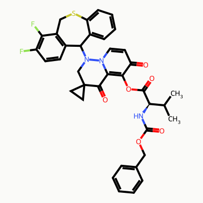 CC(C)[C@@H](NC(=O)OCc1ccccc1)C(=O)Oc1c2n(ccc1=O)N(C1c3ccccc3SCc3c1ccc(F)c3F)CC1(CC1)C2=O